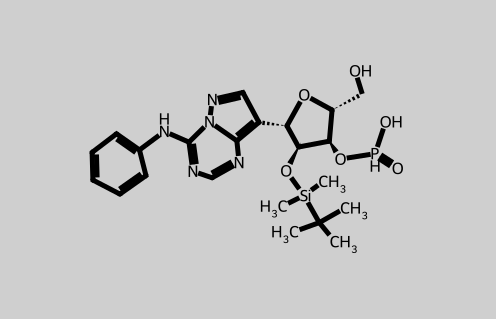 CC(C)(C)[Si](C)(C)O[C@@H]1[C@H](O[PH](=O)O)[C@@H](CO)O[C@H]1c1cnn2c(Nc3ccccc3)ncnc12